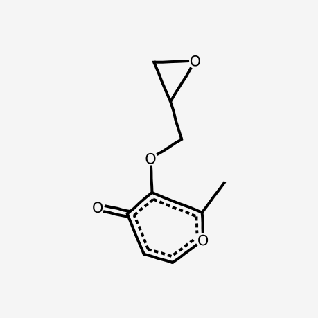 Cc1occc(=O)c1OCC1CO1